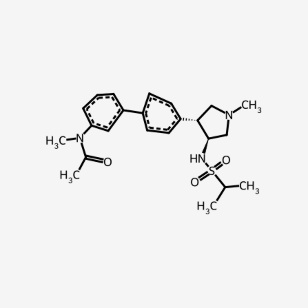 CC(=O)N(C)c1cccc(-c2ccc([C@@H]3CN(C)C[C@H]3NS(=O)(=O)C(C)C)cc2)c1